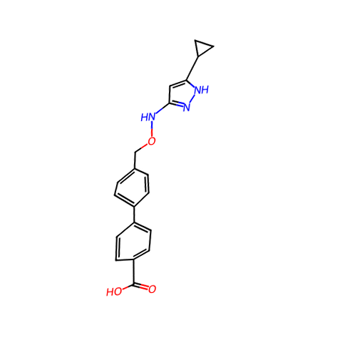 O=C(O)c1ccc(-c2ccc(CONc3cc(C4CC4)[nH]n3)cc2)cc1